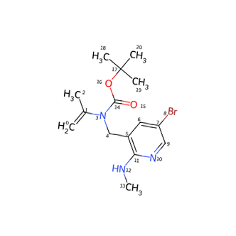 C=C(C)N(Cc1cc(Br)cnc1NC)C(=O)OC(C)(C)C